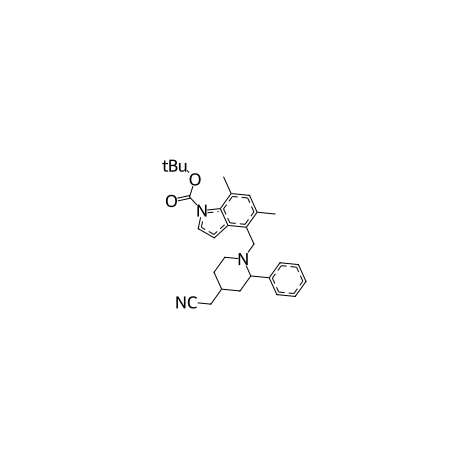 Cc1cc(C)c2c(ccn2C(=O)OC(C)(C)C)c1CN1CCC(CC#N)CC1c1ccccc1